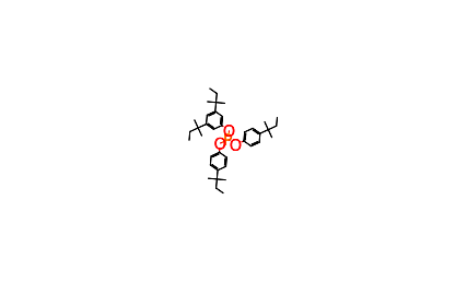 CCC(C)(C)c1ccc(OP(Oc2ccc(C(C)(C)CC)cc2)Oc2cc(C(C)(C)CC)cc(C(C)(C)CC)c2)cc1